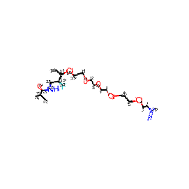 CNCCOCCOCCOCCOCCOC(C)C(F)CNC(=O)C(C)C